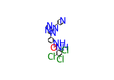 CN(Cc1ccncc1)c1nc(-c2cccc(NC(=O)Nc3cc(Cl)c(Cl)cc3Cl)c2)cn2ccnc12